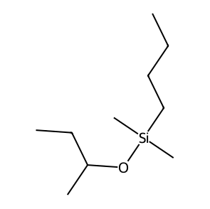 CCCC[Si](C)(C)OC(C)CC